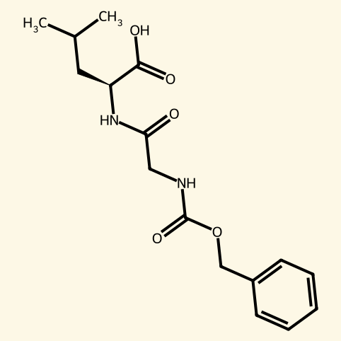 CC(C)C[C@H](NC(=O)CNC(=O)OCc1ccccc1)C(=O)O